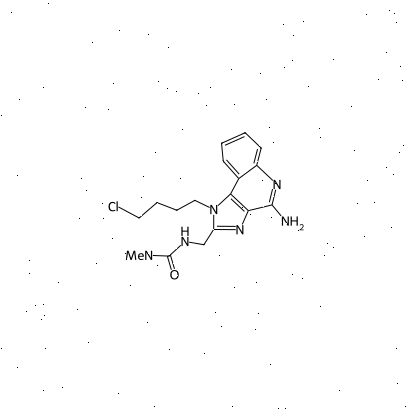 CNC(=O)NCc1nc2c(N)nc3ccccc3c2n1CCCCCl